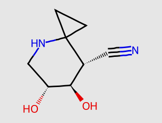 N#C[C@@H]1[C@@H](O)[C@H](O)CNC12CC2